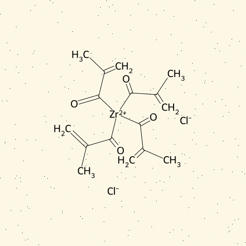 C=C(C)[C](=O)[Zr+2]([C](=O)C(=C)C)([C](=O)C(=C)C)[C](=O)C(=C)C.[Cl-].[Cl-]